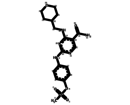 CS(=O)(=O)Oc1ccc(Nc2ncc(C(N)=O)c(NCC3CCOCC3)n2)cc1